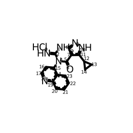 Cl.N=C(N)N(C(=O)c1cn[nH]c1C1CC1)c1ccnc2ccccc12